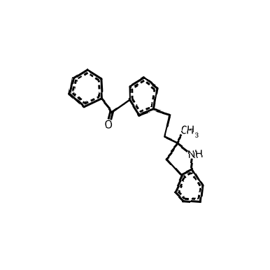 CC1(CCc2cccc(C(=O)c3ccccc3)c2)Cc2ccccc2N1